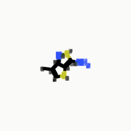 Cc1csc2c(N)snc12